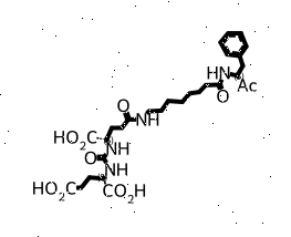 CC(=O)[C@H](Cc1ccccc1)NC(=O)CCCCCCCNC(=O)CC[C@H](NC(=O)N[C@@H](CCC(=O)O)C(=O)O)C(=O)O